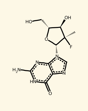 C[C@@]1(F)[C@H](O)[C@@H](CO)O[C@H]1n1cnc2c(=O)[nH]c(N)nc21